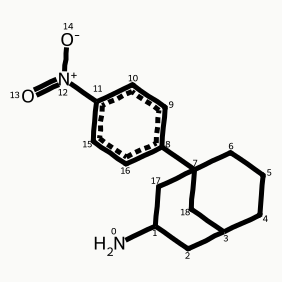 NC1CC2CCCC(c3ccc([N+](=O)[O-])cc3)(C1)C2